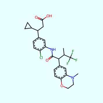 CC(C(C(=O)Nc1cc(C(CC(=O)O)C2CC2)ccc1Cl)c1ccc2c(c1)N(C)CCO2)C(F)(F)F